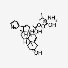 CC(=O)O.CC(C)[C@H](N)C(=O)O.C[C@]12CC[C@H](O)CC1=CC[C@@H]1[C@@H]2CC[C@]2(C)C(c3cccnc3)=CC[C@@H]12